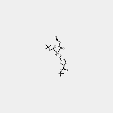 CC(C)(C)OC(=O)N[C@@H](CCC1CN(C(=O)OC(C)(C)C)CS1)C(=O)OCC#N